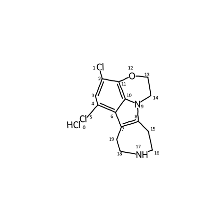 Cl.Clc1cc(Cl)c2c3c(n4c2c1OCC4)CCNCC3